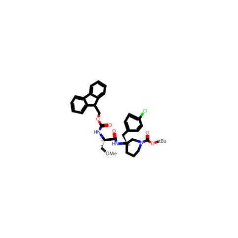 COC[C@H](NC(=O)OCC1c2ccccc2-c2ccccc21)C(=O)N[C@@]1(Cc2ccc(Cl)cc2)CCCN(C(=O)OC(C)(C)C)C1